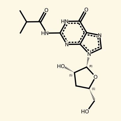 CC(C)C(=O)Nc1nc2c(ncn2[C@@H]2O[C@H](CO)C[C@@H]2O)c(=O)[nH]1